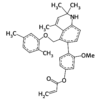 C=CC(=O)Oc1ccc(-c2ccc3c(c2COc2cc(C)ccc2C)C(C)=CC(C)(C)N3)c(OC)c1